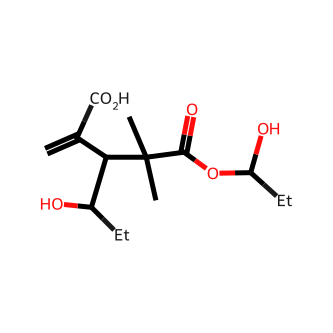 C=C(C(=O)O)C(C(O)CC)C(C)(C)C(=O)OC(O)CC